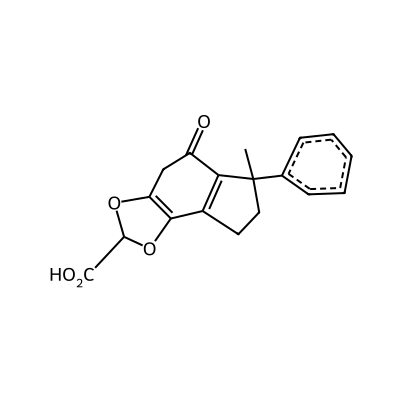 CC1(c2ccccc2)CCC2=C1C(=O)CC1=C2OC(C(=O)O)O1